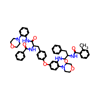 Cc1ccccc1C(=O)NC(Cc1ccccc1)C(=O)Nc1cc(Oc2ccc(CC(NC(=O)c3ccccc3)C(=O)Nc3ccccc3N3CCOCC3)cc2)ccc1N1CCOCC1